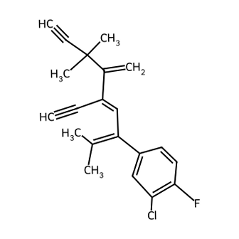 C#C/C(=C\C(=C(C)C)c1ccc(F)c(Cl)c1)C(=C)C(C)(C)C#C